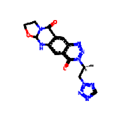 C[C@H](Cn1ncnn1)n1nnc2cc3c(cc2c1=O)NC1OCCN1C3=O